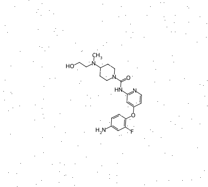 CN(CCO)C1CCN(C(=O)Nc2cc(Oc3ccc(N)cc3F)ccn2)CC1